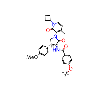 COc1ccc([C@@H]2CN(c3c(C)ccn(C4CCC4)c3=O)C(=O)[C@H]2NC(=O)c2ccc(OC(F)(F)F)cc2)cc1